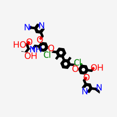 Cc1c(COc2cc(OCc3cncc(C4=NC4)c3)c(CO)cc2Cl)cccc1-c1cccc(COc2cc(OCc3cncc(C#N)c3)c(CN[C@H](C(=O)O)[C@@H](C)O)cc2Cl)c1C